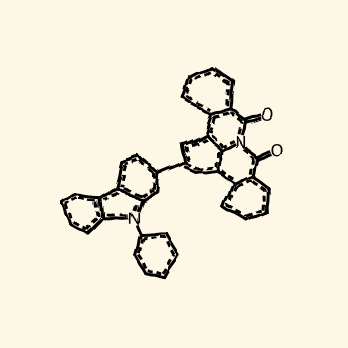 O=c1c2ccccc2c2cc(-c3ccc4c5ccccc5n(-c5ccccc5)c4c3)cc3c4ccccc4c(=O)n1c23